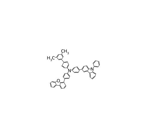 Cc1cc(C)cc(-c2ccc(N(c3ccc(-c4ccc5c(c4)c4ccccc4n5-c4ccccc4)cc3)c3ccc(-c4cccc5c4oc4ccccc45)cc3)cc2)c1